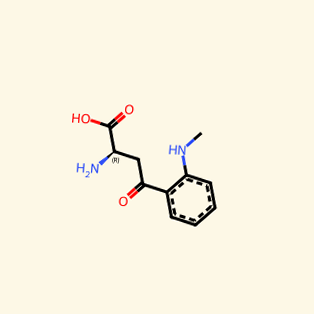 CNc1ccccc1C(=O)C[C@@H](N)C(=O)O